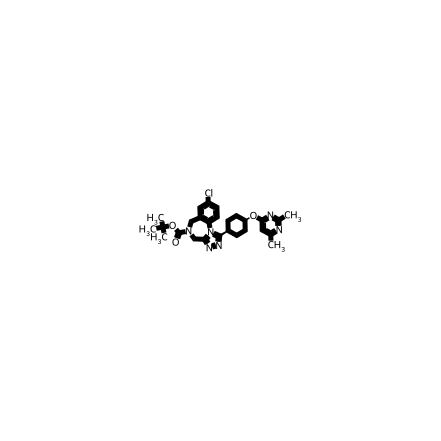 Cc1cc(O[C@H]2CC[C@H](c3nnc4n3-c3ccc(Cl)cc3CN(C(=O)OC(C)(C)C)C4)CC2)nc(C)n1